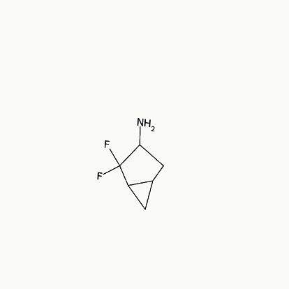 NC1CC2CC2C1(F)F